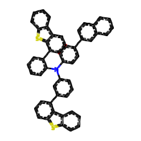 c1cc(-c2cccc3sc4ccccc4c23)cc(N(c2ccc(-c3ccc4ccccc4c3)cc2)c2ccccc2-c2cccc3c2sc2ccccc23)c1